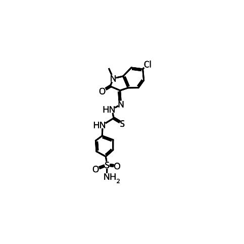 CN1C(=O)C(=NNC(=S)Nc2ccc(S(N)(=O)=O)cc2)c2ccc(Cl)cc21